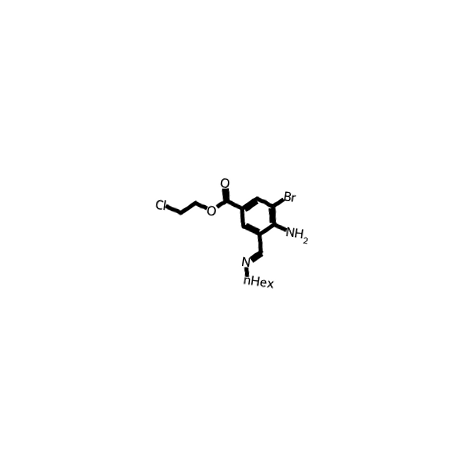 CCCCCCN=Cc1cc(C(=O)OCCCl)cc(Br)c1N